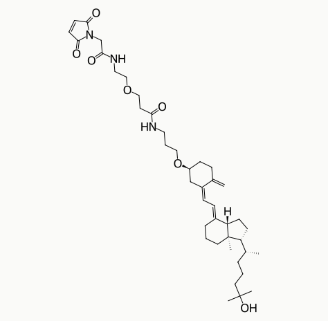 C=C1CC[C@H](OCCCNC(=O)CCOCCNC(=O)CN2C(=O)C=CC2=O)C/C1=C/C=C1\CCC[C@]2(C)[C@@H]([C@H](C)CCCC(C)(C)O)CC[C@@H]12